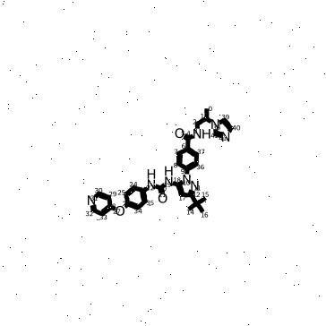 CC(CNC(=O)c1ccc(-n2nc(C(C)(C)C)cc2NC(=O)Nc2ccc(Oc3ccncc3)cc2)cc1)n1ccnc1